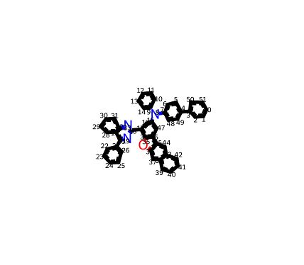 c1ccc(-c2ccc(N(c3ccccc3)c3cc(-c4nc(-c5ccccc5)c5ccccc5n4)c4oc5cc6ccccc6cc5c4c3)cc2)cc1